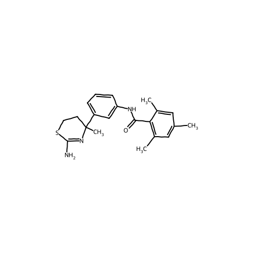 Cc1cc(C)c(C(=O)Nc2cccc(C3(C)CCSC(N)=N3)c2)c(C)c1